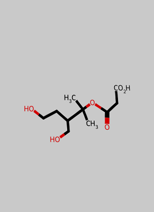 CC(C)(OC(=O)CC(=O)O)C(CO)CCO